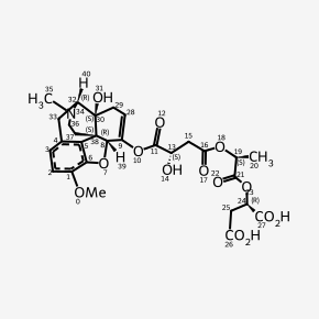 COc1ccc2c3c1O[C@H]1C(OC(=O)[C@@H](O)CC(=O)O[C@@H](C)C(=O)O[C@H](CC(=O)O)C(=O)O)=CC[C@@]4(O)[C@@H](C2)N(C)CC[C@]314